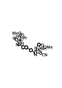 COC(=O)NC(C(=O)N1CC(C#N)CC1c1ncc(-c2ccc(-c3ccc4cc(-c5cnc(C6CC(=O)CN6C(=O)C(NC(=O)OC)C(C)C)[nH]5)ccc4c3)cc2)[nH]1)c1ccccc1